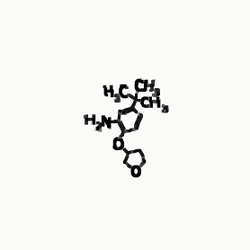 CC(C)(C)c1ccc(OC2CCOC2)c(N)c1